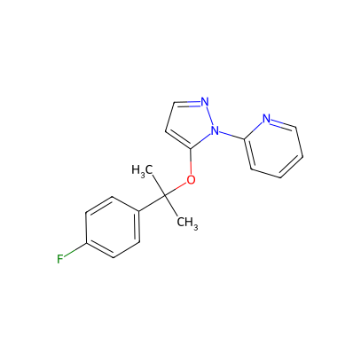 CC(C)(Oc1ccnn1-c1ccccn1)c1ccc(F)cc1